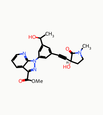 COC(=O)c1nn(-c2cc(C#C[C@]3(O)CCN(C)C3=O)cc(C(C)O)c2)c2ncccc12